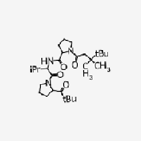 CC(C)C(NC(=O)C1CCCN1C(=O)CC(C)(C)C(C)(C)C)C(=O)N1CCCC1C(=O)C(C)(C)C